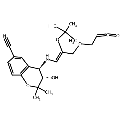 CC(C)(C)OC(=CN[C@@H]1c2cc(C#N)ccc2OC(C)(C)[C@H]1O)COCC=C=O